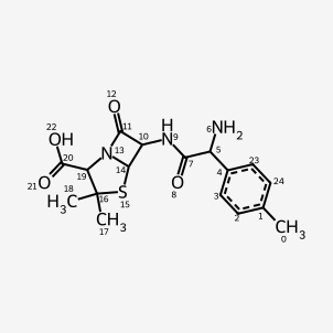 Cc1ccc(C(N)C(=O)NC2C(=O)N3C2SC(C)(C)C3C(=O)O)cc1